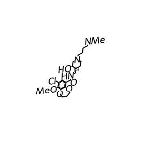 CNCCCCN1CC[C@@H](CNC(=O)c2cc(Cl)c(OC)c3c2OCCCO3)C(O)C1